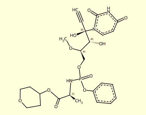 C#C[C@@](O)([C@H](O)[C@@H](COP(=O)(N[C@@H](C)C(=O)OC1CCOCC1)Oc1ccccc1)OC)n1ccc(=O)[nH]c1=O